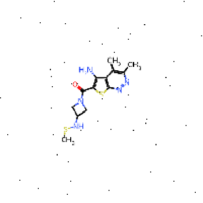 CSNC1CN(C(=O)c2sc3nnc(C)c(C)c3c2N)C1